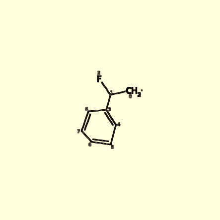 [CH2]C(F)c1ccccc1